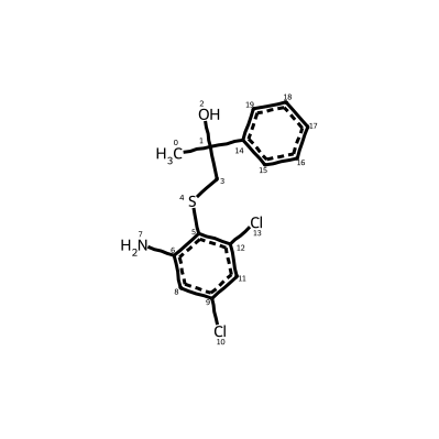 CC(O)(CSc1c(N)cc(Cl)cc1Cl)c1ccccc1